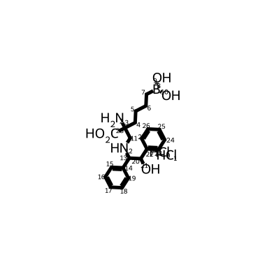 Cl.Cl.NC(CCCCB(O)O)(CNC(c1ccccc1)C(O)c1ccccc1)C(=O)O